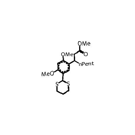 CCCCCC(CC(=O)OC)c1cc(C2SCCCS2)c(OC)cc1OC